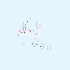 Cc1ccn(-c2ccc(C(F)(F)F)cc2NC(=O)OC2CC3C(=O)NC4(C(=O)NS(=O)(=O)C5CC5)CC4/C=C/CCCCN(C)C(=O)C3C2)n1